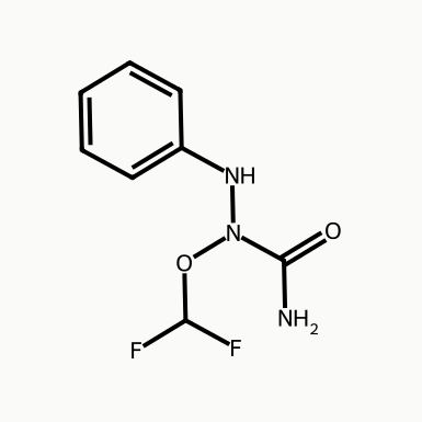 NC(=O)N(Nc1ccccc1)OC(F)F